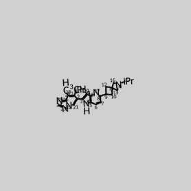 Cc1c(-c2[nH]c3ccc(C4CC5(C4)CN(C(C)C)C5)nc3c2C(C)C)cn2ncnc2c1C